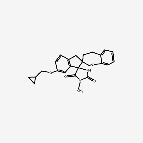 CN1C(=O)NC2(C1=O)c1cc(OCC3CC3)ccc1CC21CCc2ccccc2CC1